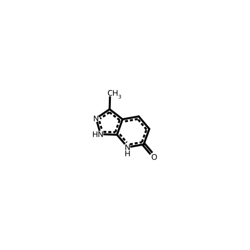 Cc1n[nH]c2[nH]c(=O)ccc12